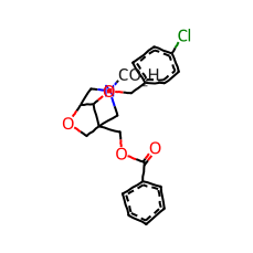 O=C(OCC12COC(CN(C(=O)O)C1)C2OCc1ccc(Cl)cc1)c1ccccc1